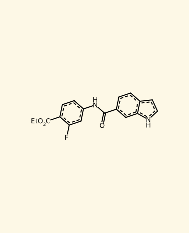 CCOC(=O)c1ccc(NC(=O)c2ccc3cc[nH]c3c2)cc1F